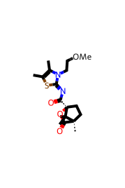 COCCn1c(C)c(C)sc1=NC(=O)[C@@]12CC[C@@](C)(C(=O)O1)C2(C)C